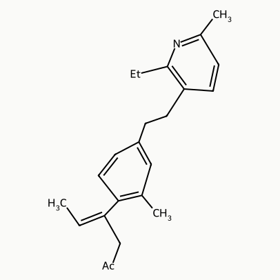 C/C=C(/CC(C)=O)c1ccc(CCc2ccc(C)nc2CC)cc1C